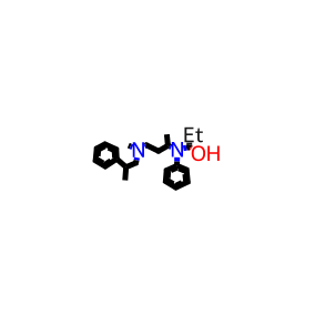 CCC(O)N(c1ccccc1)C(C)CCN(C)CC(C)c1ccccc1